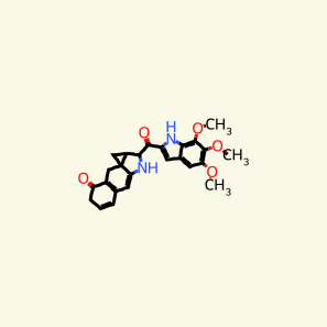 COc1cc2cc(C(=O)C3NC4=CC5=C(CC46CC36)C(=O)CC=C5)[nH]c2c(OC)c1OC